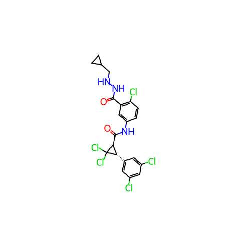 O=C(NNCC1CC1)c1cc(NC(=O)[C@H]2[C@H](c3cc(Cl)cc(Cl)c3)C2(Cl)Cl)ccc1Cl